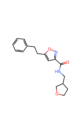 O=C(NCC1CCOC1)c1cc(CCc2ccccc2)on1